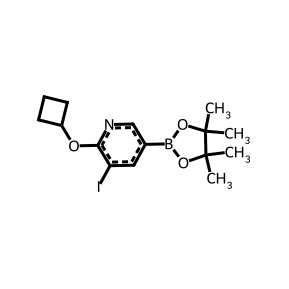 CC1(C)OB(c2cnc(OC3CCC3)c(I)c2)OC1(C)C